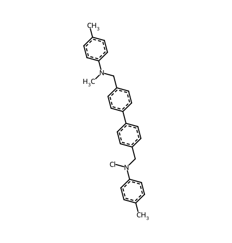 Cc1ccc(N(C)Cc2ccc(-c3ccc(CN(Cl)c4ccc(C)cc4)cc3)cc2)cc1